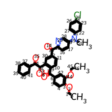 CCOc1ccc(C(=O)c2ccc(C(=O)c3ccc(N(C)c4ccc(Cl)cc4)cn3)cc2C(O)C(=O)c2ccccc2)cc1OCC